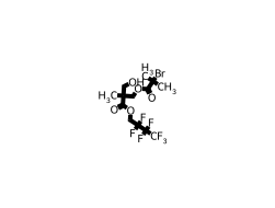 CC(C)(Br)C(=O)OCC(C)(CO)C(=O)OCC(F)(F)C(F)(F)C(F)(F)F